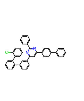 Clc1ccccc1-c1ccccc1-c1cccc(-c2cc(-c3ccc(-c4ccccc4)cc3)nc(-c3ccccc3)n2)c1